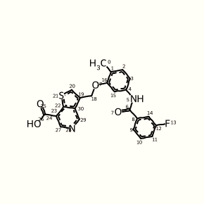 Cc1ccc(NC(=O)c2cccc(F)c2)cc1OCc1csc2c(C(=O)O)cncc12